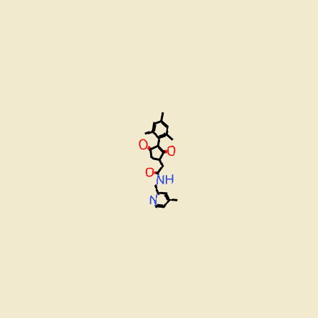 Cc1ccnc(CNC(=O)CC2CC(=O)C(c3c(C)cc(C)cc3C)C2=O)c1